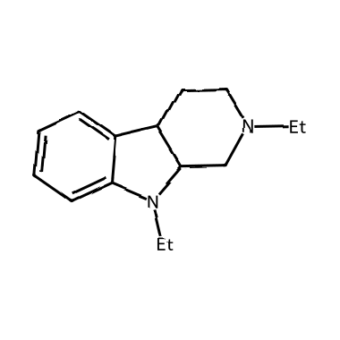 CCN1CCC2c3ccccc3N(CC)C2C1